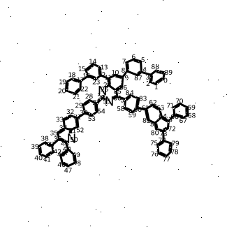 c1ccc(-c2cccc(-c3cc(-c4cccc(-c5ccccc5)c4)c4nc(-c5ccc(-c6ccc7cc(-c8ccccc8)c(-c8ccccc8)nc7c6)cc5)nc(-c5ccc(-c6ccc7c(-c8ccccc8)cc(-c8ccccc8)cc7c6)cc5)c4c3)c2)cc1